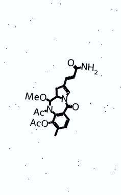 COC1C2CC(C=CC(N)=O)=CN2C(=O)c2ccc(C)c(OC(C)=O)c2N1C(C)=O